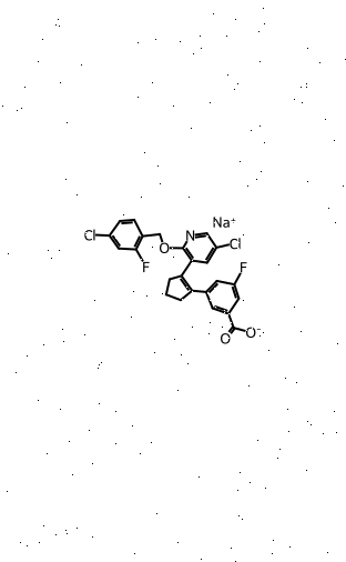 O=C([O-])c1cc(F)cc(C2=C(c3cc(Cl)cnc3OCc3ccc(Cl)cc3F)CCC2)c1.[Na+]